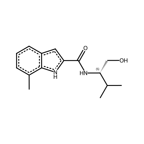 Cc1cccc2cc(C(=O)N[C@H](CO)C(C)C)[nH]c12